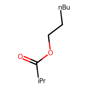 CCCCCCOC(=O)C(C)C